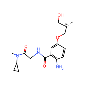 C[C@@H](CO)COc1ccc(N)c(C(=O)NCC(=O)N(C)C2CC2)c1